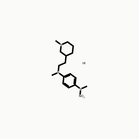 CN1CCCC(CCN(C)c2ccc(N(C)[N+](=O)[O-])cc2)C1.I